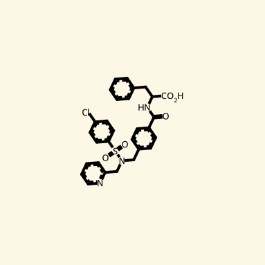 O=C(NC(Cc1ccccc1)C(=O)O)c1ccc(CN(Cc2ccccn2)S(=O)(=O)c2ccc(Cl)cc2)cc1